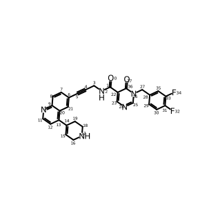 O=C(NCC#Cc1ccc2nccc(C3=CCNCC3)c2c1)c1cncn(Cc2ccc(F)c(F)c2)c1=O